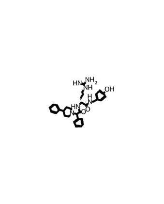 N=C(N)NCCC[C@@H](NC(=O)C(c1ccccc1)N1CCC(c2ccccc2)CC1)C(=O)NCc1ccc(O)cc1